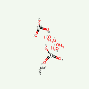 O.O.O.O.[K+].[Na+].[O]=[Ta](=[O])[O-].[O]=[Ta](=[O])[O-]